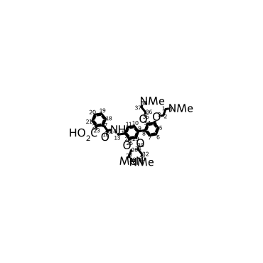 CNCCOc1cccc(-c2ccc(CNC(=O)c3ccccc3C(=O)O)c(OCCNC)c2OCCNC)c1OCCNC